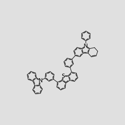 C1=Cc2c(n(-c3ccccc3)c3ccc(-c4cccc(-c5cccc6c5sc5c(-c7cccc(-n8c9ccccc9c9ccccc98)c7)cccc56)c4)cc23)CC1